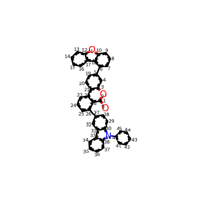 O=c1oc2cc(-c3cccc4oc5ccccc5c34)ccc2c2cccc(-c3ccc4c(c3)c3ccccc3n4-c3ccccc3)c12